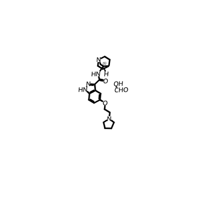 O=C(N[C@@H]1CN2CCC1CC2)c1n[nH]c2ccc(OCCN3CCCC3)cc12.O=CO